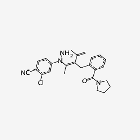 C=C(C)/C(Cc1ccccc1C(=O)N1CCCC1)=C(/C)N(N)c1ccc(C#N)c(Cl)c1